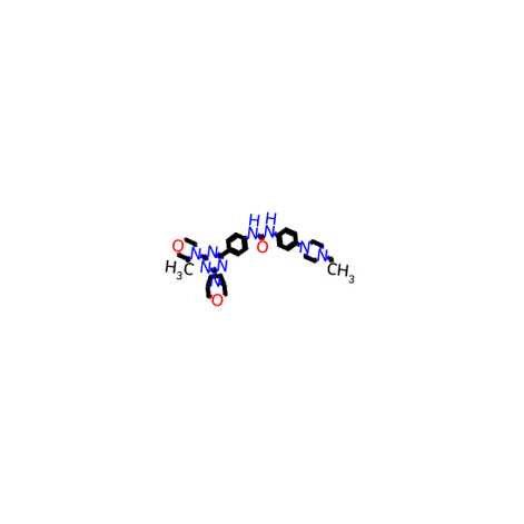 CCN1CCN(c2ccc(NC(=O)Nc3ccc(-c4nc(N5CCOCC5C)nc(N5C6CCC5COC6)n4)cc3)cc2)CC1